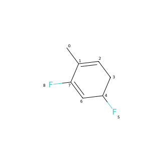 CC1=CCC(F)C=C1F